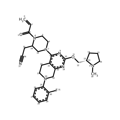 C=CC(=O)N1CCN(c2nc(OC[C@@H]3CCCN3C)nc3c2CCN(c2ccccc2F)C3)CC1CC#N